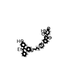 CC/C(=C(\c1ccc(O)cc1)c1ccc(OCCCCN2CCN(c3ccc4c(c3)CN(C3CCC(=O)NC3=O)C4=O)CC2)cc1)c1ccccc1